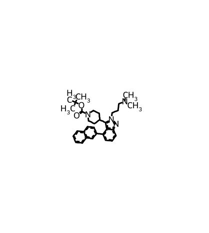 CN(C)CCCn1nc2cccc(-c3ccc4ccccc4c3)c2c1C1CCN(C(=O)OC(C)(C)C)CC1